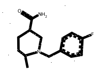 CC1CCC(C(N)=O)CN1Cc1ccc(F)cc1